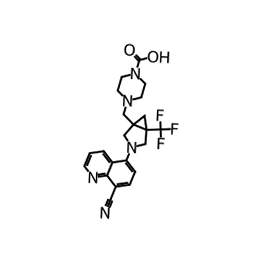 N#Cc1ccc(N2CC3(CN4CCN(C(=O)O)CC4)CC3(C(F)(F)F)C2)c2cccnc12